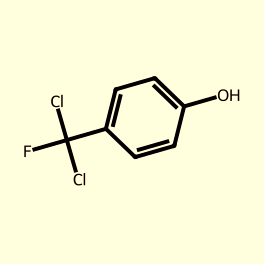 Oc1ccc(C(F)(Cl)Cl)cc1